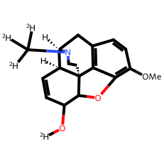 [2H]OC1C=C[C@H]2[C@H]3Cc4ccc(OC)c5c4[C@@]2(CCN3C([2H])([2H])[2H])C1O5